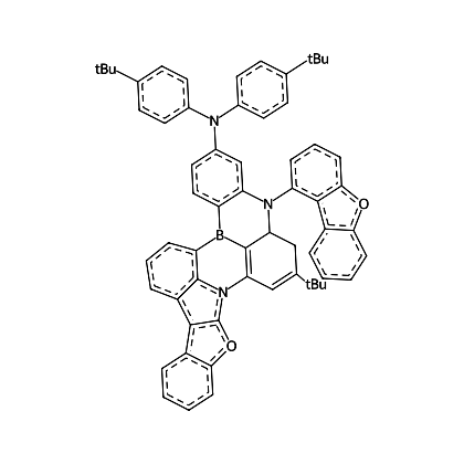 CC(C)(C)C1=CC2=C3B(c4ccc(N(c5ccc(C(C)(C)C)cc5)c5ccc(C(C)(C)C)cc5)cc4N(c4cccc5oc6ccccc6c45)C3C1)c1cccc3c4c5ccccc5oc4n2c13